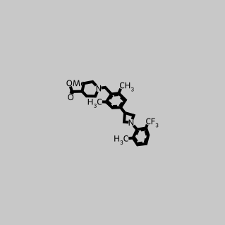 COC(=O)C1CCN(Cc2c(C)cc(C3CN(c4c(C)cccc4C(F)(F)F)C3)cc2C)CC1